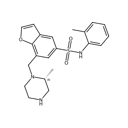 Cc1ccccc1NS(=O)(=O)c1cc(CN2CCNC[C@H]2C)c2occc2c1